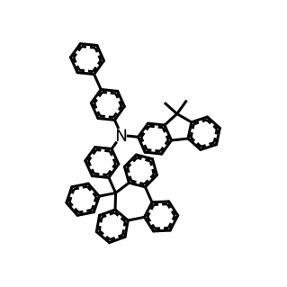 CC1(C)c2ccccc2-c2ccc(N(c3ccc(-c4ccccc4)cc3)c3cccc(C4(c5ccccc5)c5ccccc5-c5ccccc5-c5ccccc54)c3)cc21